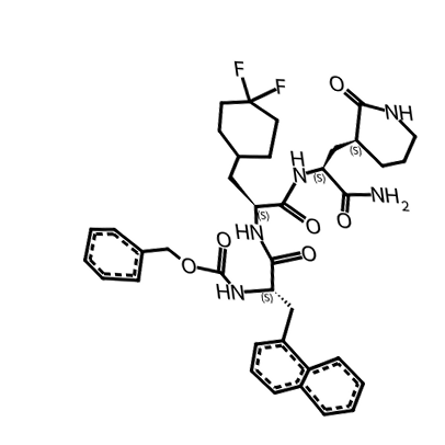 NC(=O)[C@H](C[C@@H]1CCCNC1=O)NC(=O)[C@H](CC1CCC(F)(F)CC1)NC(=O)[C@H](Cc1cccc2ccccc12)NC(=O)OCc1ccccc1